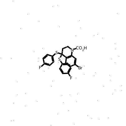 O=C(O)N1CCC(Sc2ccc(F)cc2)(Sc2ccc(F)cc2)c2ccc(Br)cc21